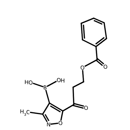 Cc1noc(C(=O)CCOC(=O)c2ccccc2)c1B(O)O